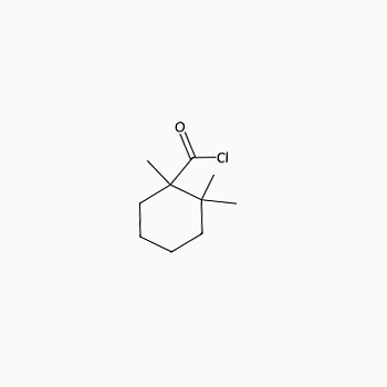 CC1(C)CCCCC1(C)C(=O)Cl